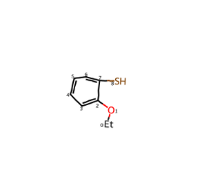 [CH2]COc1ccccc1S